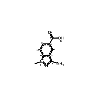 Cn1nc(N)c2cc(C(=O)O)ccc21